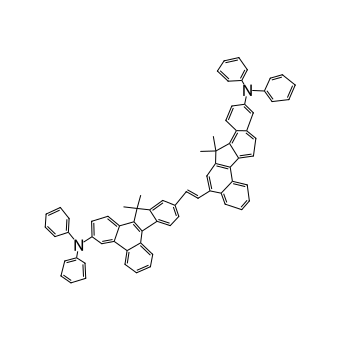 CC1(C)c2cc(/C=C/c3ccc4c(c3)C(C)(C)c3c-4c4ccccc4c4cc(N(c5ccccc5)c5ccccc5)ccc34)c3ccccc3c2-c2ccc3cc(N(c4ccccc4)c4ccccc4)ccc3c21